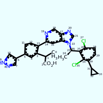 CC(C(=O)O)c1cc(-c2cn[nH]c2)ccc1-c1cc2c(cn1)ncn2[C@H](C)c1c(Cl)ccc(C2CC2)c1Cl